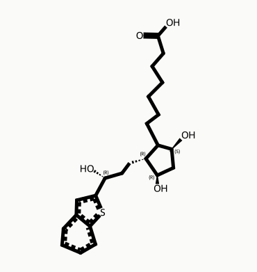 O=C(O)CCCCCCC1[C@@H](CC[C@@H](O)c2cc3ccccc3s2)[C@H](O)C[C@@H]1O